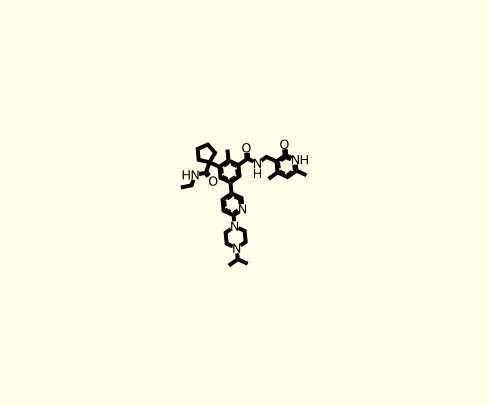 CCNC(=O)C1(c2cc(-c3ccc(N4CCN(C(C)C)CC4)nc3)cc(C(=O)NCc3c(C)cc(C)[nH]c3=O)c2C)CCCC1